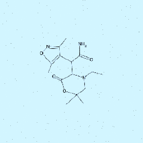 CCN1CC(C)(C)OC(=O)C1C(C(N)=O)c1c(C)noc1C